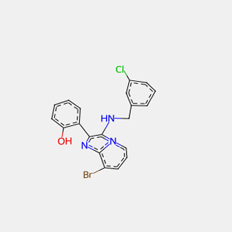 Oc1ccccc1-c1nc2c(Br)cccn2c1NCc1cccc(Cl)c1